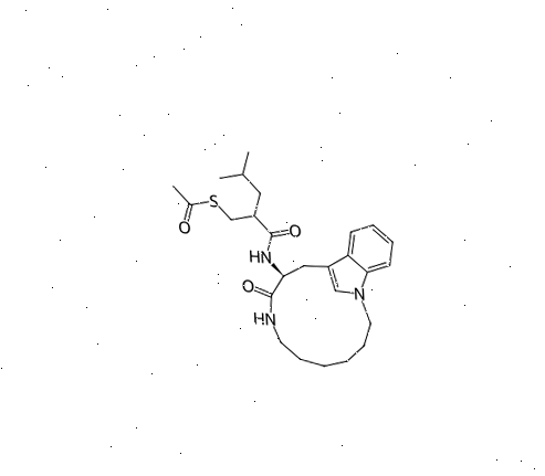 CC(=O)SCC(CC(C)C)C(=O)N[C@H]1Cc2cn(c3ccccc23)CCCCCCNC1=O